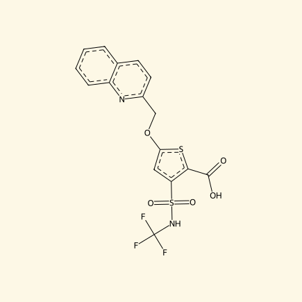 O=C(O)c1sc(OCc2ccc3ccccc3n2)cc1S(=O)(=O)NC(F)(F)F